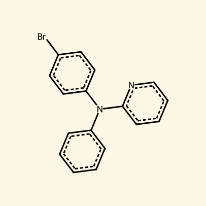 Brc1ccc(N(c2ccccc2)c2ccccn2)cc1